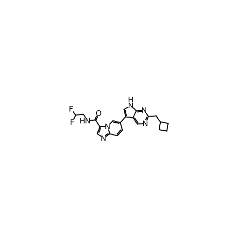 O=C(NCC(F)F)c1cnc2ccc(-c3c[nH]c4nc(CC5CCC5)ncc34)cn12